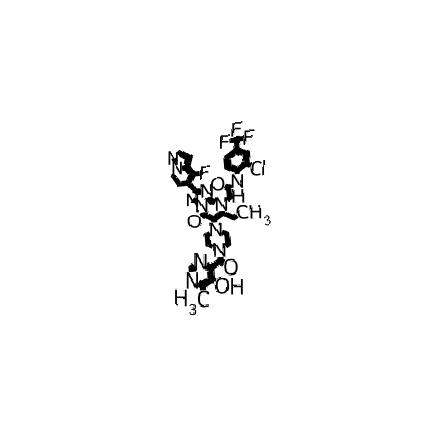 CCc1c(N2CCN(C(=O)c3ncnc(C)c3O)CC2)c(=O)n2nc(-c3ccn4nccc4c3F)nc2n1CC(=O)Nc1ccc(C(F)(F)F)cc1Cl